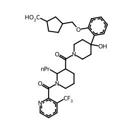 CCCC1C(C(=O)N2CCC(O)(c3ccccc3OCC3CCC(C(=O)O)C3)CC2)CCCN1C(=O)c1ncccc1C(F)(F)F